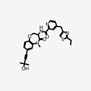 CCc1nc(Cc2ccnc(C(=O)NC3COc4ccc(C#CC(C)(C)O)cc4N(C)C3=O)c2)cs1